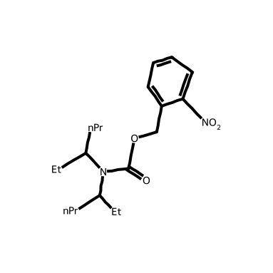 CCCC(CC)N(C(=O)OCc1ccccc1[N+](=O)[O-])C(CC)CCC